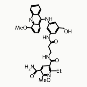 CCc1nc(OC)c(C(N)=O)cc1C(=O)NCCC(=O)Nc1cc(CO)cc(Nc2c3ccccc3nc3c(OC)cccc23)c1